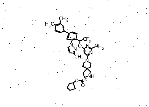 Cc1ccn(-c2cc(-c3ccc(C)c(C)c3)ccc2C(Oc2cc(N3CCC4(CC3)CN[C@H](C(=O)OC3CCCC3)C4)nc(N)n2)C(F)(F)F)n1